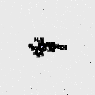 C#Cc1nc(NC(=O)/C(N)=C\c2ccccc2C#N)cs1